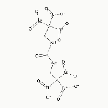 O=C(NCC([N+](=O)[O-])([N+](=O)[O-])[N+](=O)[O-])NCC([N+](=O)[O-])([N+](=O)[O-])[N+](=O)[O-]